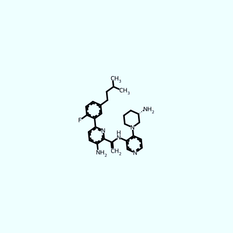 C=C(Nc1cnccc1N1CCC[C@H](N)C1)c1nc(-c2cc(CCC(C)C)ccc2F)ccc1N